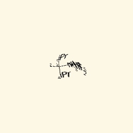 CC(C)C(C)(N)C(C)C.F